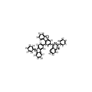 c1ccc(-c2nc(-c3cc(-c4ccc5c(c4)c4ccccc4n5-c4ccccc4)c4c(c3)oc3ccccc34)c3ccccc3n2)cc1